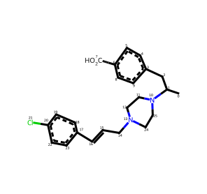 CC(Cc1ccc(C(=O)O)cc1)N1CCN(C/C=C/c2ccc(Cl)cc2)CC1